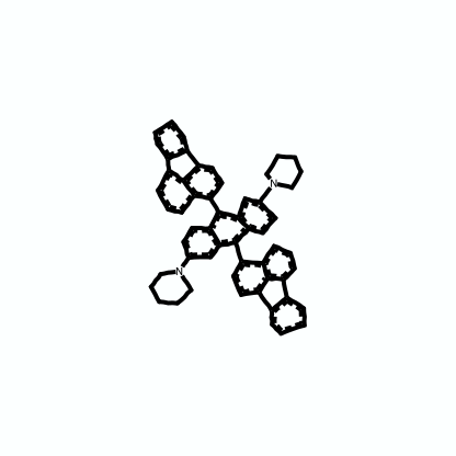 c1ccc2c(c1)-c1cccc3c(-c4c5ccc(N6CCCCC6)cc5c(-c5ccc6c7c(cccc57)-c5ccccc5-6)c5ccc(N6CCCCC6)cc45)ccc-2c13